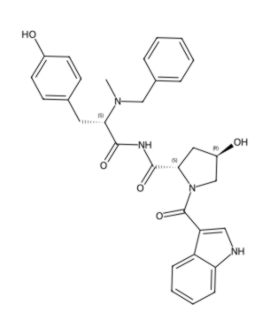 CN(Cc1ccccc1)[C@@H](Cc1ccc(O)cc1)C(=O)NC(=O)[C@@H]1C[C@@H](O)CN1C(=O)c1c[nH]c2ccccc12